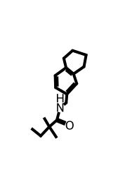 CCC(C)(C)C(=O)NCc1ccc2c(c1)CCCC2